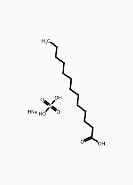 CCCCCCCCCCCCC(=O)O.O=S(=O)(O)O.[NaH]